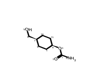 NC(=O)O[C@H]1CC[C@@H](CO)CC1